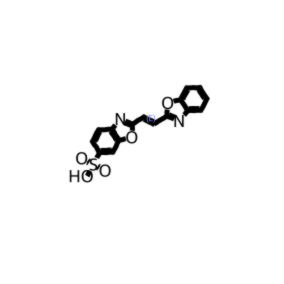 O=S(=O)(O)c1ccc2nc(/C=C/c3nc4ccccc4o3)oc2c1